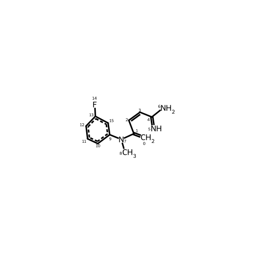 C=C(/C=C\C(=N)N)N(C)c1cccc(F)c1